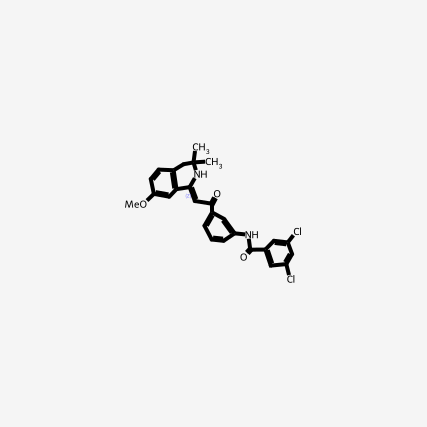 COc1ccc2c(c1)/C(=C/C(=O)c1cccc(NC(=O)c3cc(Cl)cc(Cl)c3)c1)NC(C)(C)C2